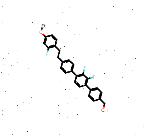 CCOc1ccc(CCc2ccc(-c3ccc(-c4ccc(CO)cc4)c(F)c3F)cc2)c(F)c1